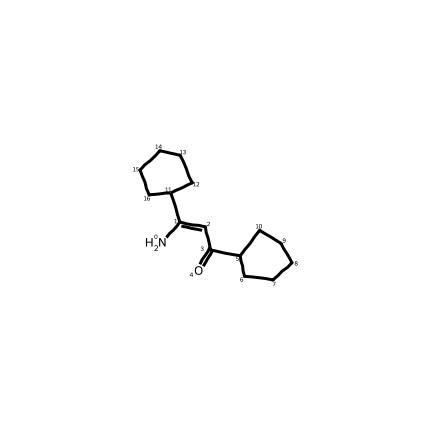 N/C(=C\C(=O)C1CCCCC1)C1CCCCC1